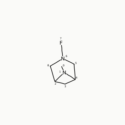 CN1C2CC1CN(F)C2